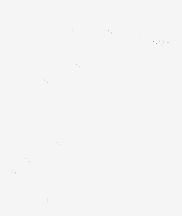 CNC(=O)c1ccc(N2CCN(Cc3ccc4c([nH]c(=O)c5c(F)cnn54)c3Cl)CC2)c(C)n1